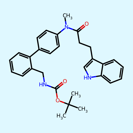 CN(C(=O)CCc1c[nH]c2ccccc12)c1ccc(-c2ccccc2CNC(=O)OC(C)(C)C)cc1